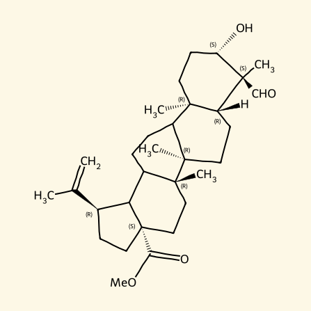 C=C(C)[C@@H]1CC[C@]2(C(=O)OC)CC[C@]3(C)C(CCC4[C@@]5(C)CC[C@H](O)[C@@](C)(C=O)[C@@H]5CC[C@]43C)C12